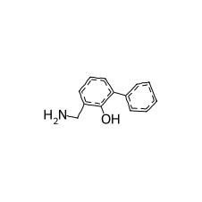 NCc1cccc(-c2ccccc2)c1O